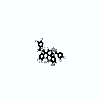 CCCNC(=O)C(c1c(C)n(C(=O)c2ccc(Cl)c(Cl)c2)c2cc(F)c(O)c(F)c12)C(C(=O)NC(C)C)c1c(C)n(C(=O)c2ccc(Cl)c(Cl)c2)c2cc(F)c(O)c(F)c12